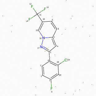 Fc1ccc(-c2cc3ccc(C(F)(F)F)cn3n2)c(Cl)c1